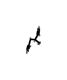 N#CCC(F)C#N